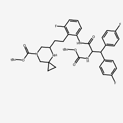 CC(C)(C)OC(=O)NC(C(=O)Nc1cccc(F)c1CCC1CN(C(=O)OC(C)(C)C)CC2(CC2)N1)C(c1ccc(F)cc1)c1ccc(F)cc1